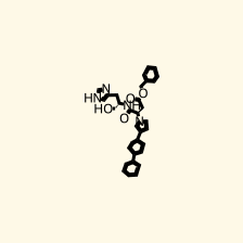 O=C(C[C@H](C(=O)N[C@H](CO)Cc1c[nH]cn1)n1ccc(-c2ccc(-c3ccccc3)cc2)c1)OCc1ccccc1